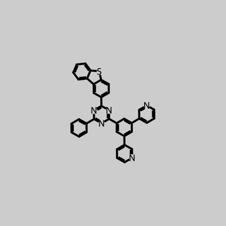 c1ccc(-c2nc(-c3cc(-c4cccnc4)cc(-c4cccnc4)c3)nc(-c3ccc4sc5ccccc5c4c3)n2)cc1